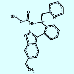 C=Cc1ccc2c(-c3ccccc3[C@H](Cc3ccccn3)NC(=O)OC(C)(C)C)noc2c1